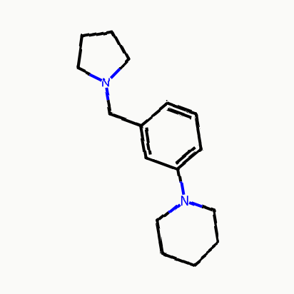 [c]1ccc(N2CCCCC2)cc1CN1CCCC1